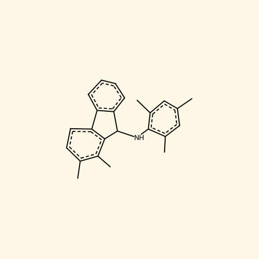 Cc1cc(C)c(NC2c3ccccc3-c3ccc(C)c(C)c32)c(C)c1